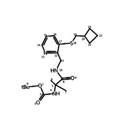 CC(C)(C)OC(=O)NC(C)(C)C(=O)NCc1ncccc1SCC1CCC1